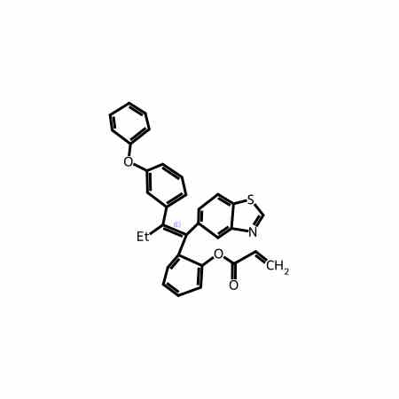 C=CC(=O)Oc1ccccc1/C(=C(\CC)c1cccc(Oc2ccccc2)c1)c1ccc2scnc2c1